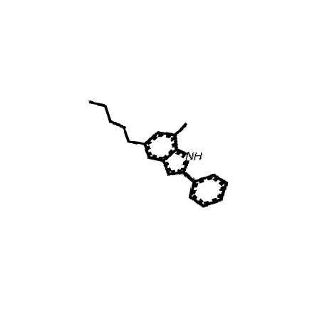 CCCCCc1cc(C)c2[nH]c(-c3ccccc3)cc2c1